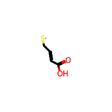 O=C(O)/C=C/C[S]